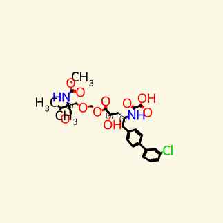 COC(=O)N[C@@](C=O)(COCOC(=O)[C@H](O)C[C@@H](Cc1ccc(-c2cccc(Cl)c2)cc1)NC(=O)C(=O)O)C(C)C